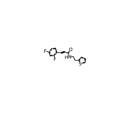 O=C(C#Cc1ccc(F)cc1F)NCCc1cccs1